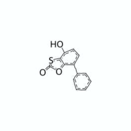 O=c1oc2c(-c3ccccc3)ccc(O)c2s1